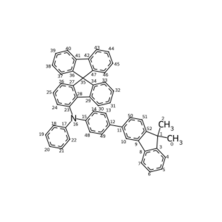 CC1(C)c2ccccc2-c2cc(-c3ccc(N(c4ccccc4)c4cccc5c4-c4ccccc4C54c5ccccc5-c5ccccc54)cc3)ccc21